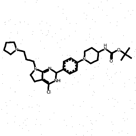 CC(C)(C)OC(=O)NC1CCN(c2ccc(C3N=C4C(=C(Cl)N3)CCN4CCCN3CCCC3)cc2)CC1